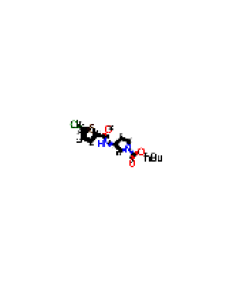 CCCCOC(=O)N1CCC(NC(=O)c2ccc(Cl)s2)C1